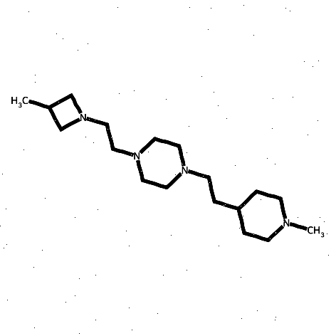 CC1CN(CCN2CCN(CCC3CCN(C)CC3)CC2)C1